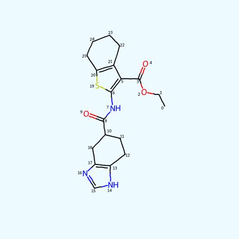 CCOC(=O)c1c(NC(=O)C2CCc3[nH]cnc3C2)sc2c1CCCC2